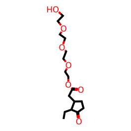 CCC1C(=O)CCC1CC(=O)OCCOCCOCCOCCO